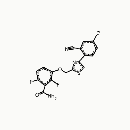 N#Cc1cc(Cl)ccc1-c1csc(COc2ccc(F)c(C(N)=O)c2F)n1